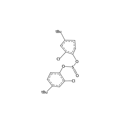 CC(C)(C)c1ccc(OS(=O)Oc2ccc(C(C)(C)C)cc2Cl)c(Cl)c1